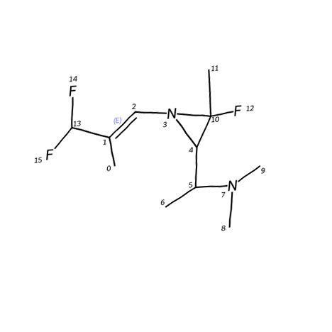 C/C(=C\N1C(C(C)N(C)C)C1(C)F)C(F)F